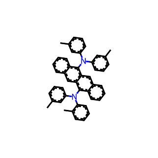 Cc1cccc(N(c2cccc(C)c2)c2c3ccccc3cc3c(N(c4cccc(C)c4)c4ccccc4C)c4ccccc4cc23)c1